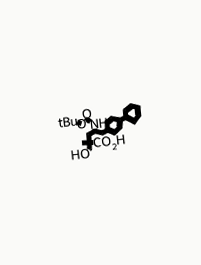 CC(C)(C)OC(=O)NC(Cc1ccc(-c2ccccc2)cc1)CC(C)(CO)C(=O)O